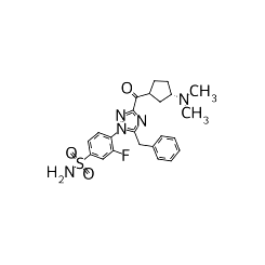 CN(C)[C@H]1CCC(C(=O)c2nc(Cc3ccccc3)n(-c3ccc(S(N)(=O)=O)cc3F)n2)C1